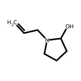 C=CCN1CCCC1O